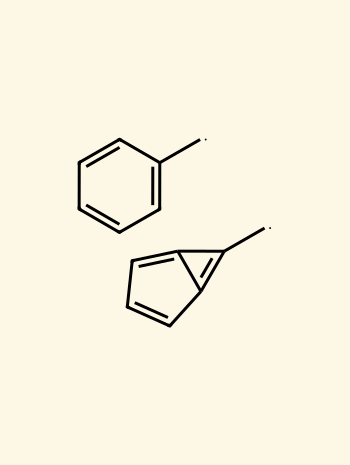 [CH2]c1c2cccc1-2.[CH2]c1ccccc1